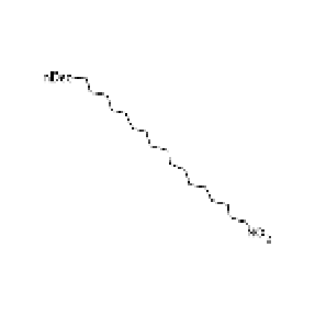 CCCCCCCCCCCCCCCCCCCCCCCCCCC[N+](=O)[O-]